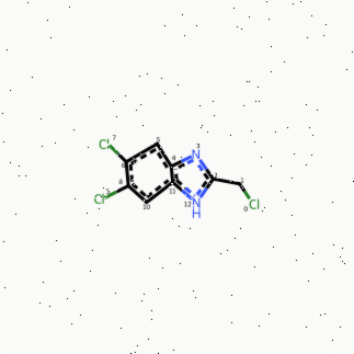 ClCc1nc2cc(Cl)c(Cl)cc2[nH]1